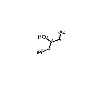 CC(=O)CC(O)CC(C)C